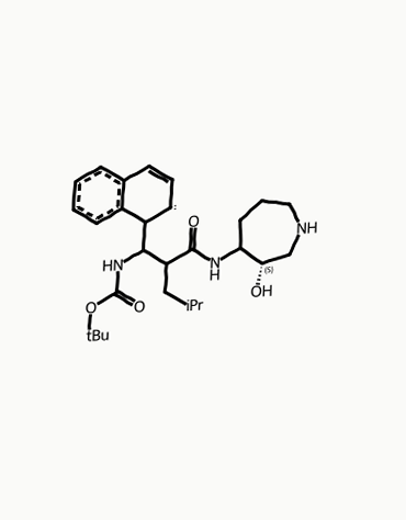 CC(C)CC(C(=O)NC1CCCNC[C@@H]1O)C(NC(=O)OC(C)(C)C)C1[C]C=Cc2ccccc21